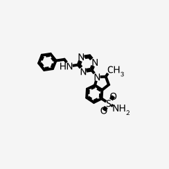 CC1Cc2c(cccc2S(N)(=O)=O)N1c1ncnc(NCc2ccccc2)n1